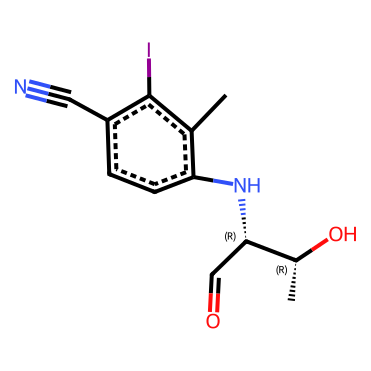 Cc1c(N[C@@H](C=O)[C@@H](C)O)ccc(C#N)c1I